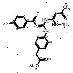 C=C(/C=C(\NN)N/C(=N\C(=O)c1ccc(F)cc1)Nc1ccc(CC(=O)OC)cc1)C(F)(F)F